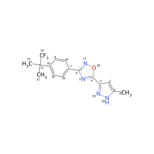 Cc1cc(-c2nc(-c3ccc(C(C)(C)C(F)(F)F)cc3)no2)n[nH]1